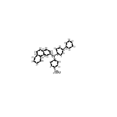 CC(C)(C)c1ccc(N(c2ccc(-c3ccccc3)cc2)c2ccc3ccc4ccccc4c3c2)cc1